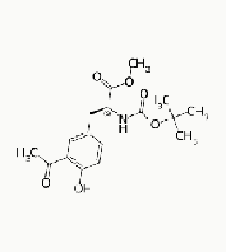 COC(=O)[C@H](Cc1ccc(O)c(C(C)=O)c1)NC(=O)OC(C)(C)C